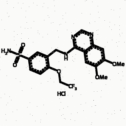 COc1cc2ncnc(NCc3cc(S(N)(=O)=O)ccc3OCC(F)(F)F)c2cc1OC.Cl